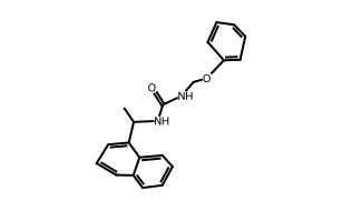 CC(NC(=O)NCOc1ccccc1)c1cccc2ccccc12